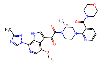 COc1cnc(-n2cnc(C)n2)c2[nH]cc(C(=O)C(=O)N3CCN(c4ncccc4C(=O)N4CCOCC4)C[C@H]3C)c12